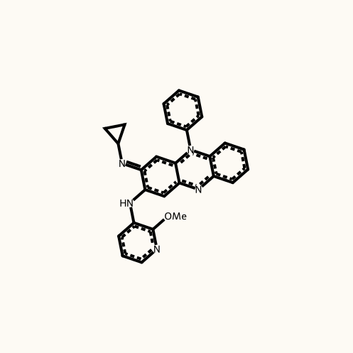 COc1ncccc1Nc1cc2nc3ccccc3n(-c3ccccc3)c-2c/c1=N\C1CC1